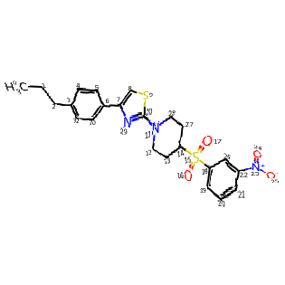 CCCc1ccc(-c2csc(N3CCC(S(=O)(=O)c4cccc([N+](=O)[O-])c4)CC3)n2)cc1